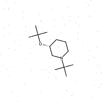 CC(C)(C)O[C@@H]1CCCN(C(C)(C)C)C1